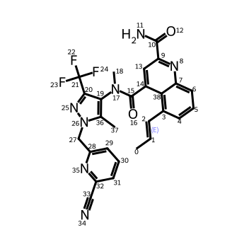 C/C=C/c1cccc2nc(C(N)=O)cc(C(=O)N(C)c3c(C(F)(F)F)nn(Cc4cccc(C#N)n4)c3C)c12